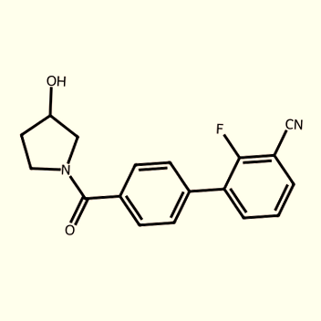 N#Cc1cccc(-c2ccc(C(=O)N3CCC(O)C3)cc2)c1F